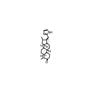 CC1C[C@H]2[C@@H]3CC[C@H]4N(C)C(=O)CC[C@]4(C)[C@H]3CC[C@]2(C)/C1=C/c1ncc[nH]1